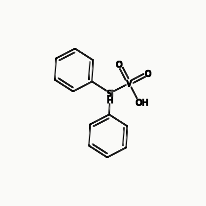 [O]=[V](=[O])([OH])[SiH](c1ccccc1)c1ccccc1